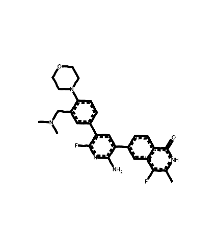 Cc1[nH]c(=O)c2ccc(-c3cc(-c4ccc(N5CCOCC5)c(CN(C)C)c4)c(F)nc3N)cc2c1F